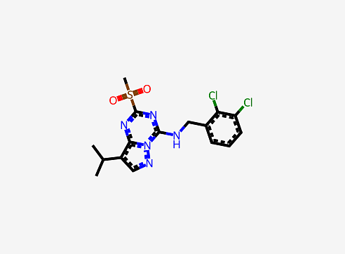 CC(C)c1cnn2c(NCc3cccc(Cl)c3Cl)nc(S(C)(=O)=O)nc12